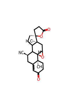 C[C@]12CCC(=O)C=C1C[C@@H](C#N)C1C3CC[C@@]4(CCC(=O)O4)[C@@]3(C)C[C@H]3O[C@@]132